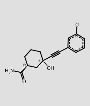 NC(=O)[C@H]1CCC[C@@](O)(C#Cc2cccc(Cl)c2)C1